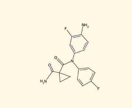 NC(=O)C1(C(=O)N(c2ccc(F)cc2)c2ccc(N)c(F)c2)CC1